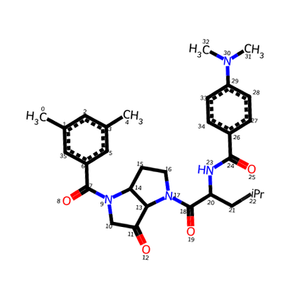 Cc1cc(C)cc(C(=O)N2CC(=O)C3C2CCN3C(=O)C(CC(C)C)NC(=O)c2ccc(N(C)C)cc2)c1